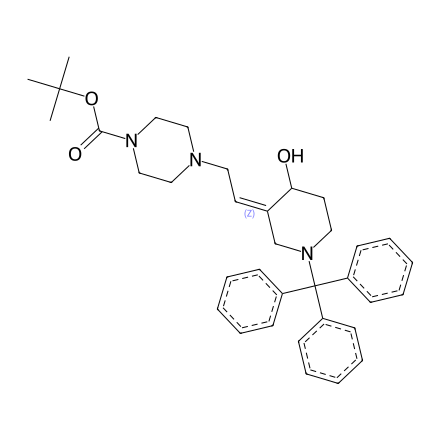 CC(C)(C)OC(=O)N1CCN(C/C=C2/CN(C(c3ccccc3)(c3ccccc3)c3ccccc3)CCC2O)CC1